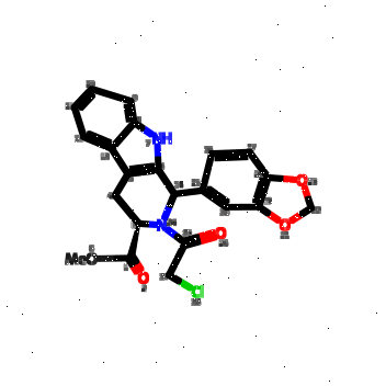 COC(=O)[C@H]1Cc2c([nH]c3ccccc23)C(c2ccc3c(c2)OCO3)N1C(=O)CCl